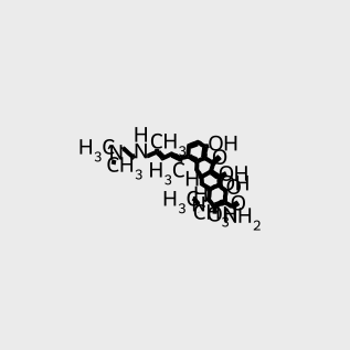 C/C(=C\C=C(/C)c1ccc(O)c2c1C[C@H]1C[C@H]3[C@H](N(C)C)C(O)=C(C(N)=O)C(=O)[C@@]3(O)C(O)=C1C2=O)CNCCN(C)C